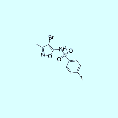 Cc1noc(NS(=O)(=O)c2ccc(I)cc2)c1Br